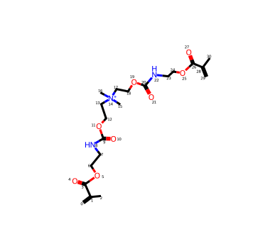 C=C(C)C(=O)OCCNC(=O)OCC[N+](C)(C)CCOC(=O)NCCOC(=O)C(=C)C